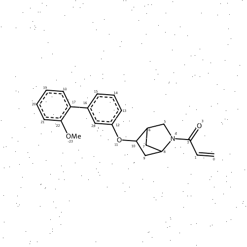 C=CC(=O)N1CC2CC1CC2Oc1cccc(-c2ccccc2OC)c1